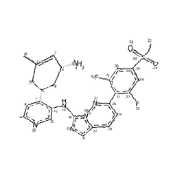 CC1=C[C@H](N)C[C@H](c2ccncc2Nc2ncc3ccc(-c4c(F)cc(S(C)(=O)=O)cc4F)nn23)C1